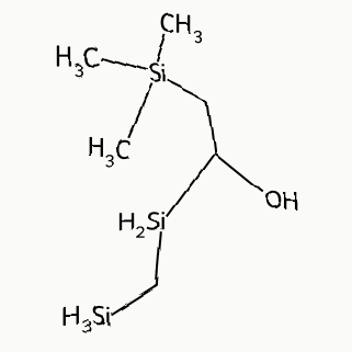 C[Si](C)(C)CC(O)[SiH2]C[SiH3]